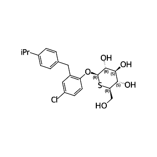 CC(C)c1ccc(Cc2cc(Cl)ccc2O[C@@H]2S[C@H](CO)[C@@H](O)[C@H](O)[C@H]2O)cc1